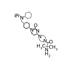 CC(C)N(Cc1ccc(-n2ccc(N3CCN(C(=O)C(C)(C)N)CC3)nc2=O)cc1)C1CCCCC1